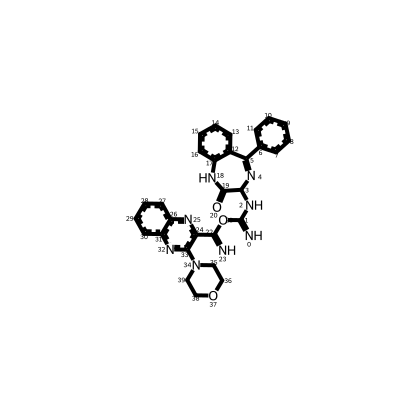 N=C(NC1N=C(c2ccccc2)c2ccccc2NC1=O)OC(=N)c1nc2ccccc2nc1N1CCOCC1